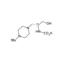 CC(C)(C)N1CCN(C[C@H](CO)NC(=O)O)CC1